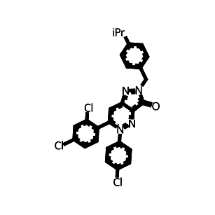 CC(C)c1ccc(Cn2nc3cc(-c4ccc(Cl)cc4Cl)n(-c4ccc(Cl)cc4)nc-3c2=O)cc1